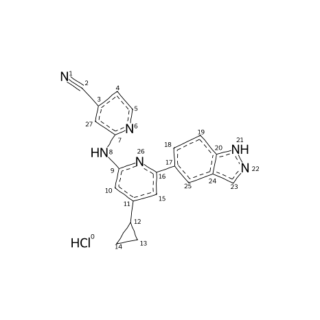 Cl.N#Cc1ccnc(Nc2cc(C3CC3)cc(-c3ccc4[nH]ncc4c3)n2)c1